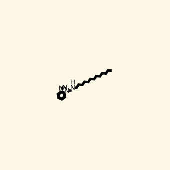 CCCCCCCCCCCCCNCn1nnc2ccccc21